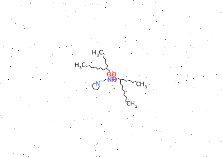 CCCCCCCCC(CCCCCC)COP(=O)(NCCCN1CCCCC1)OCC(CCCCCC)CCCCCCCC